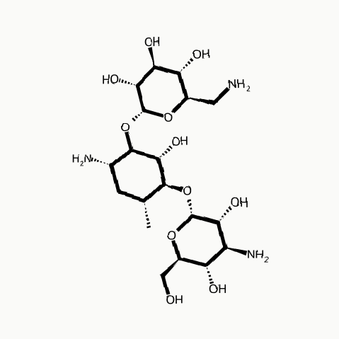 C[C@@H]1C[C@H](N)C(O[C@H]2O[C@H](CN)[C@@H](O)[C@H](O)[C@H]2O)[C@H](O)[C@H]1O[C@H]1O[C@H](CO)[C@@H](O)[C@H](N)[C@H]1O